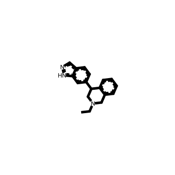 CCN1Cc2ccccc2C(c2ccc3cn[nH]c3c2)C1